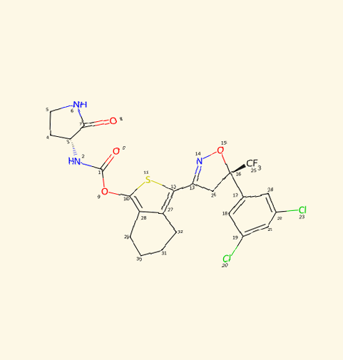 O=C(N[C@@H]1CCNC1=O)Oc1sc(C2=NO[C@@](c3cc(Cl)cc(Cl)c3)(C(F)(F)F)C2)c2c1CCCC2